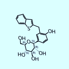 OC[C@H]1O[C@@H](c2ccc(O)c(Cc3cc4ccccc4s3)c2)[C@H](O)[C@@H](O)[C@@H]1O